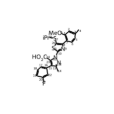 COc1cc(C)ccc1-c1nc(-n2nc(C)c(-c3cccc(F)c3)c2C(=O)O)sc1SC(C)C